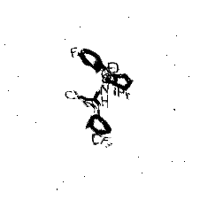 CC(C)C1(C(=O)NCc2cn(-c3ccc(C(F)(F)F)cc3)nc2Cl)CCCC1S(=O)(=O)c1ccc(F)cc1